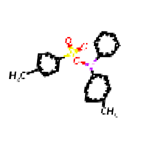 Cc1ccc([I+](OS(=O)(=O)c2ccc(C)cc2)c2ccccc2)cc1